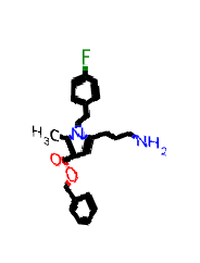 Cc1c(C(=O)OCc2ccccc2)cc(CCCN)n1CCc1ccc(F)cc1